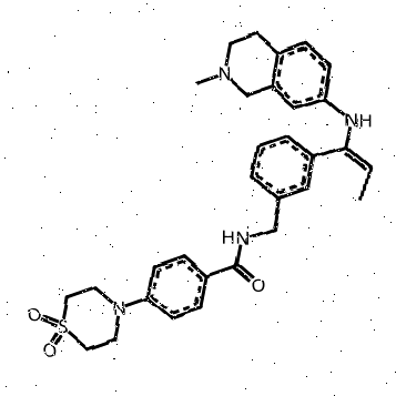 CC=C(Nc1ccc2c(c1)CN(C)CC2)c1cccc(CNC(=O)c2ccc(N3CCS(=O)(=O)CC3)cc2)c1